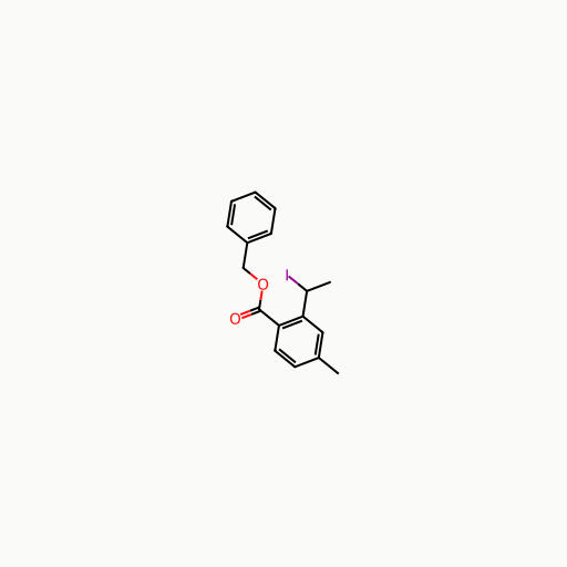 Cc1ccc(C(=O)OCc2ccccc2)c(C(C)I)c1